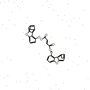 O=C(/C=C/C(=O)OOc1cccc2oc3cc4cc(c3c12)C4)OOc1cccc2oc3cc4cc(c3c12)C4